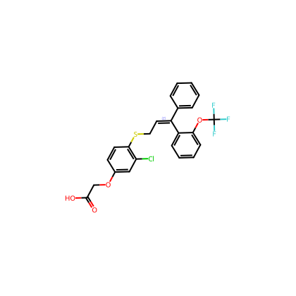 O=C(O)COc1ccc(SC/C=C(/c2ccccc2)c2ccccc2OC(F)(F)F)c(Cl)c1